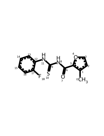 Cc1ccoc1C(=O)NC(=S)Nc1ccccc1F